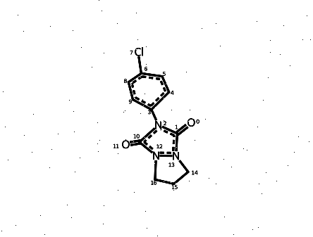 O=c1n(-c2ccc(Cl)cc2)c(=O)n2n1CCC2